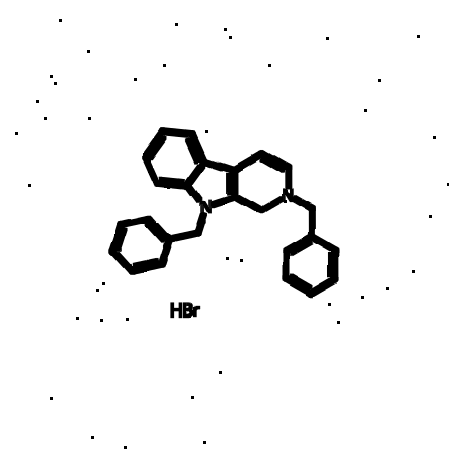 Br.C1=CN(Cc2ccccc2)Cc2c1c1ccccc1n2Cc1ccccc1